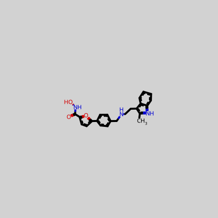 Cc1[nH]c2ccccc2c1CCNCc1ccc(-c2ccc(C(=O)NO)o2)cc1